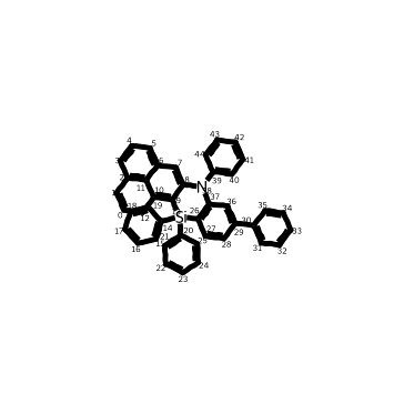 C1=Cc2cccc3cc4c(c(c23)C1)[Si](c1ccccc1)(c1ccccc1)c1ccc(-c2ccccc2)cc1N4c1ccccc1